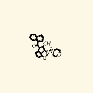 CC1C(C(=O)c2cccc3ccccc23)c2cccc3c2C1N(CN1CCOCC1)CO3